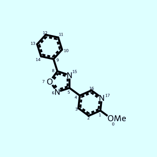 COc1ccc(-c2noc(-c3ccccc3)n2)cn1